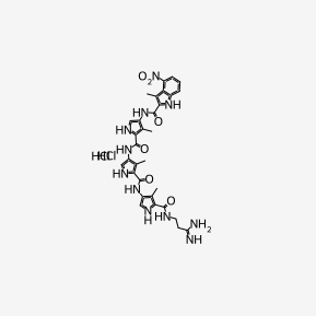 Cc1c(NC(=O)c2[nH]cc(NC(=O)c3[nH]cc(NC(=O)c4[nH]c5cccc([N+](=O)[O-])c5c4C)c3C)c2C)c[nH]c1C(=O)NCCC(=N)N.Cl.Cl